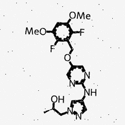 COc1cc(OC)c(F)c(COc2cnc(Nc3cnn(C[C@@H](C)O)c3)nc2)c1F